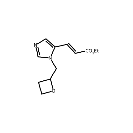 CCOC(=O)C=Cc1cncn1CC1CCO1